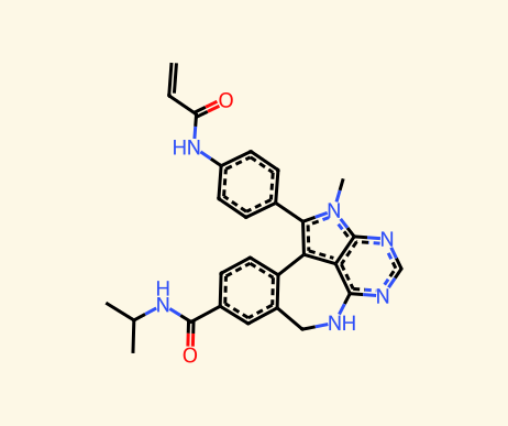 C=CC(=O)Nc1ccc(-c2c3c4c(ncnc4n2C)NCc2cc(C(=O)NC(C)C)ccc2-3)cc1